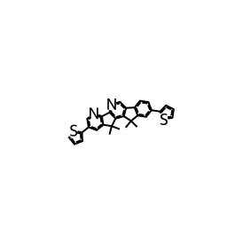 CC1(C)c2cc(-c3cccs3)ccc2-c2cnc3c(c21)C(C)(C)c1cc(-c2cccs2)cnc1-3